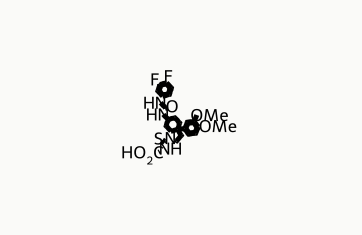 COc1ccc(C23CCC(NC(=O)Nc4ccc(F)c(F)c4)CC2N(C(=S)NC(=O)O)CC3)cc1OC